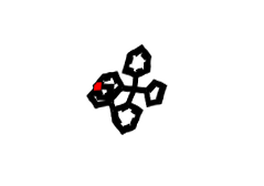 C1=CCC(c2ccccc2C(C2=CC=CC2)(c2ccccc2)c2ccccc2)=C1